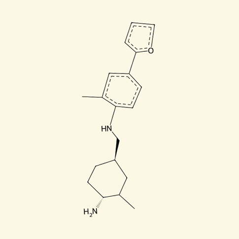 Cc1cc(-c2ccco2)ccc1NC[C@@H]1CC[C@@H](N)C(C)C1